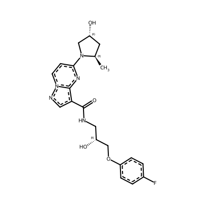 C[C@@H]1C[C@@H](O)CN1c1ccn2ncc(C(=O)NC[C@@H](O)COc3ccc(F)cc3)c2n1